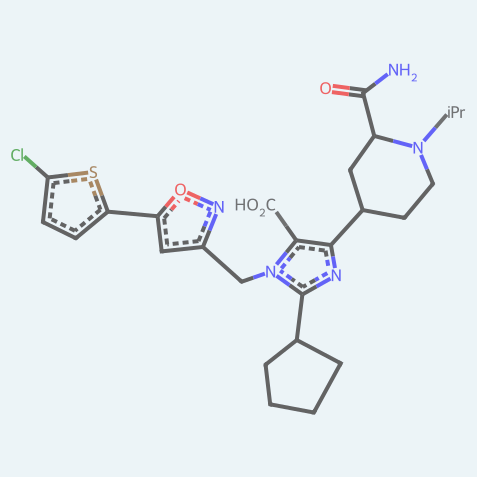 CC(C)N1CCC(c2nc(C3CCCC3)n(Cc3cc(-c4ccc(Cl)s4)on3)c2C(=O)O)CC1C(N)=O